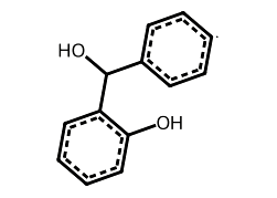 Oc1ccccc1C(O)c1cc[c]cc1